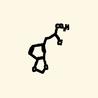 O=C(O)C(Cl)Cc1ccc2c(c1)OCO2